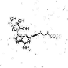 Nc1nc(C#CCCCC(=O)O)nc2c1ncn2[C@@H]1O[C@H](CO)C(O)C1O